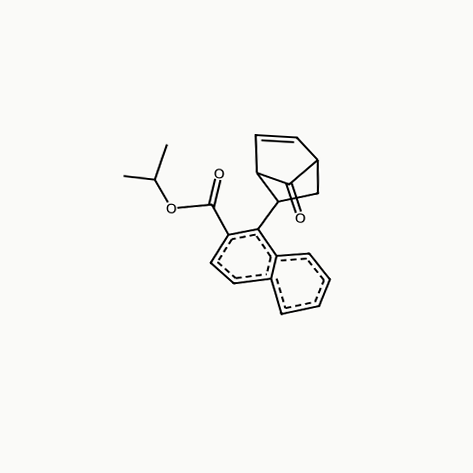 CC(C)OC(=O)c1ccc2ccccc2c1C1CC2C=CC1C2=O